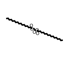 CCCCCCCCCCCCCCCC(=O)OCC(=O)OC(=O)CCCCCCCCCCCCCCC